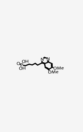 COc1cc2ncnc(CCCCCP(=O)(O)O)c2cc1OC